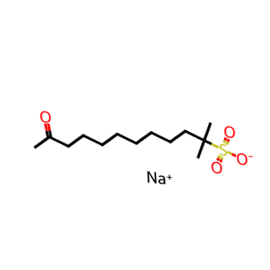 CC(=O)CCCCCCCCC(C)(C)S(=O)(=O)[O-].[Na+]